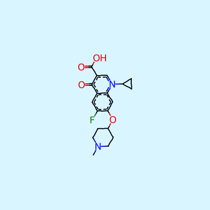 CN1CCC(Oc2cc3c(cc2F)c(=O)c(C(=O)O)cn3C2CC2)CC1